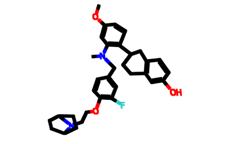 COc1ccc(C2CCc3cc(O)ccc3C2)c(N(C)Cc2ccc(OCCN3C4CCC3CC4)c(F)c2)c1